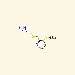 CC(C)(C)Sc1cccnc1CSCCN